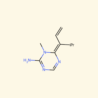 C=C/C(=C1/N=CN=C(N)N1C)C(C)C